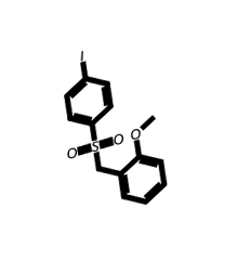 COc1ccccc1CS(=O)(=O)c1ccc(I)cc1